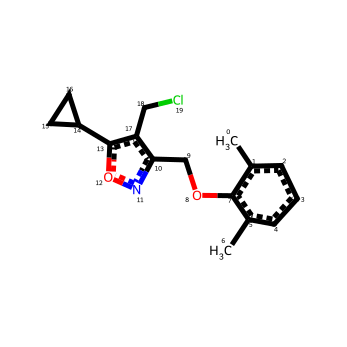 Cc1cccc(C)c1OCc1noc(C2CC2)c1CCl